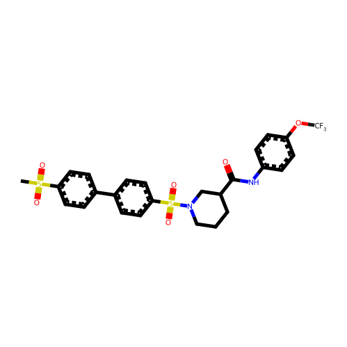 CS(=O)(=O)c1ccc(-c2ccc(S(=O)(=O)N3CCCC(C(=O)Nc4ccc(OC(F)(F)F)cc4)C3)cc2)cc1